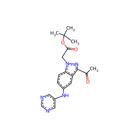 CC(=O)c1nn(CC(=O)OC(C)(C)C)c2ccc(Nc3cncnc3)cc12